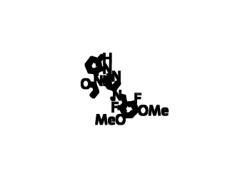 C=CC(=O)Nc1cccc(C)c1Nc1ccc(N(C)Cc2c(F)c(OC)cc(OC)c2F)cn1